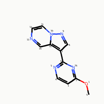 COc1ccnc(-c2cnn3ccncc23)n1